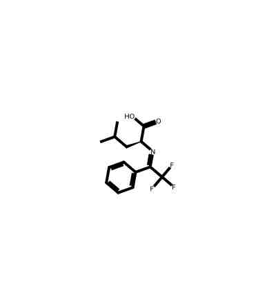 CC(C)C[C@H](/N=C(\c1ccccc1)C(F)(F)F)C(=O)O